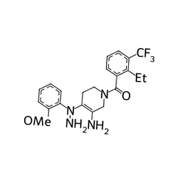 CCc1c(C(=O)N2CCC(N(N)c3ccccc3OC)=C(N)C2)cccc1C(F)(F)F